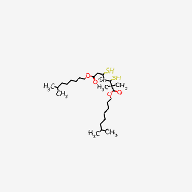 CC(C)CCCCCCOC(=O)C[CH](S)[Sn][CH](S)C(C)(C)C(=O)OCCCCCCC(C)C